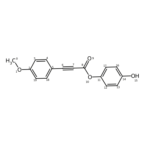 COc1ccc(C#CC(=O)Oc2ccc(O)cc2)cc1